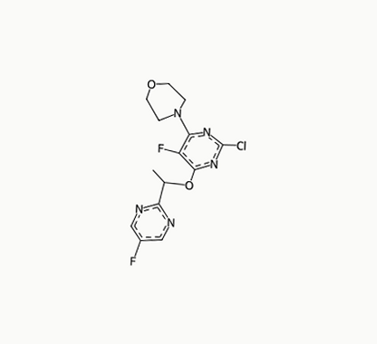 CC(Oc1nc(Cl)nc(N2CCOCC2)c1F)c1ncc(F)cn1